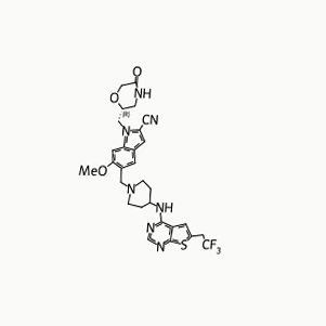 COc1cc2c(cc1CN1CCC(Nc3ncnc4sc(CC(F)(F)F)cc34)CC1)cc(C#N)n2C[C@H]1CNC(=O)CO1